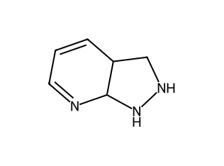 C1=CC2CNNC2N=C1